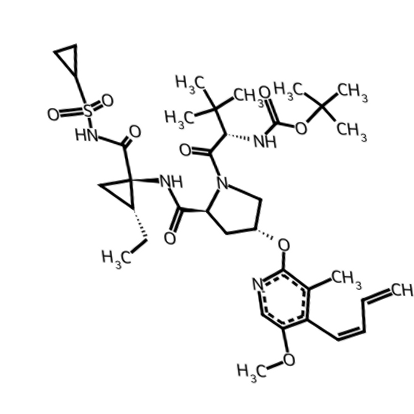 C=C/C=C\c1c(OC)cnc(O[C@@H]2C[C@@H](C(=O)N[C@]3(C(=O)NS(=O)(=O)C4CC4)C[C@H]3CC)N(C(=O)[C@@H](NC(=O)OC(C)(C)C)C(C)(C)C)C2)c1C